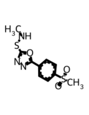 CNSc1nnc(-c2ccc(S(C)(=O)=O)cc2)o1